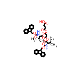 CC(C)[C@H](NC(=O)OCC1c2ccccc2-c2ccccc21)C(=O)OCCC(OC(=O)CCC(=O)O)OC(=O)[C@@H](NC(=O)OCC1c2ccccc2-c2ccccc21)C(C)C